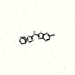 Brc1cnc2nc(NC3=NC[C@@]4(CN5CCC4CC5)O3)sc2n1